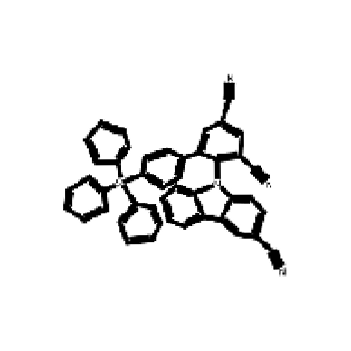 N#Cc1cc(C#N)c(-n2c3ccccc3c3cc(C#N)ccc32)c(-c2ccc([Si](c3ccccc3)(c3ccccc3)c3ccccc3)cc2)c1